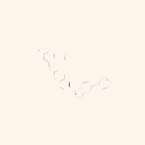 CN(C)Cc1cc(NC(=O)Nc2ccc(-c3cnc4cc(-c5ccncc5)ccn34)cc2F)cc(C(C)(C)C)c1